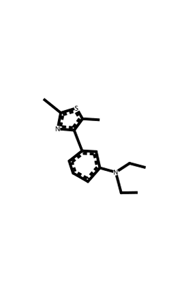 CCN(CC)c1cccc(-c2nc(C)sc2C)c1